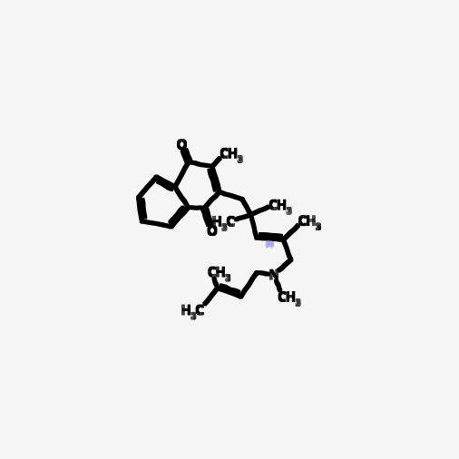 CC(C)=CCN(C)C/C(C)=C/C(C)(C)CC1=C(C)C(=O)c2ccccc2C1=O